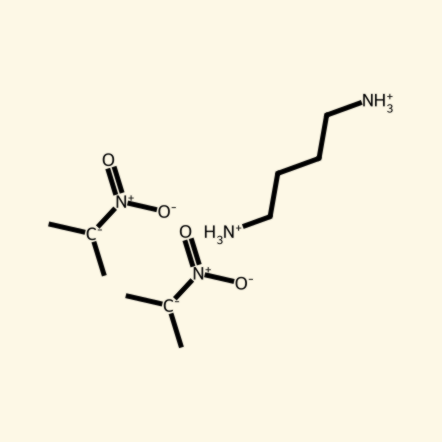 C[C-](C)[N+](=O)[O-].C[C-](C)[N+](=O)[O-].[NH3+]CCCC[NH3+]